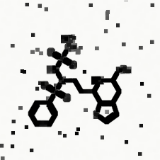 CCCCC1Cc2ccsc2C(CCN(NS(C)(=O)=O)S(=O)(=O)c2ccccc2)N1.Cl